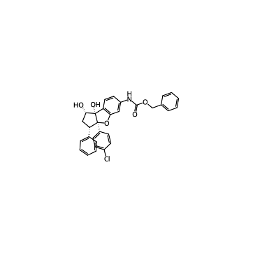 O=C(Nc1ccc2c(c1)O[C@@]1(c3ccc(Cl)cc3)[C@H](c3ccccc3)C[C@H](O)[C@@]21O)OCc1ccccc1